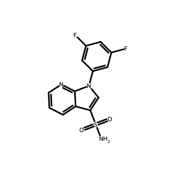 NS(=O)(=O)c1cn(-c2cc(F)cc(F)c2)c2ncccc12